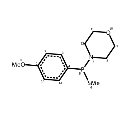 COc1ccc(P(SC)N2CCOCC2)cc1